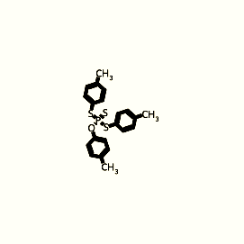 Cc1ccc(OP(=S)(Sc2ccc(C)cc2)Sc2ccc(C)cc2)cc1